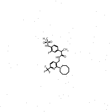 CC(C(=O)NCc1ccc(C(F)(F)F)nc1N1CCCCCCC1)c1ccc(NS(C)(=O)=O)c(F)c1